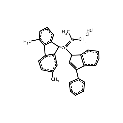 Cc1ccc2c(c1)[CH]([Zr]([CH]1C=C(c3ccccc3)c3ccccc31)=[Si](C)C)c1cccc(C)c1-2.Cl.Cl